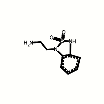 NCCN1c2ccccc2NS1(=O)=O